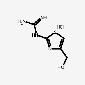 Cl.N=C(N)Nc1nc(CO)cs1